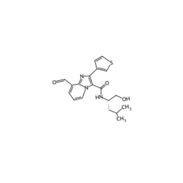 CC(C)C[C@@H](CO)NC(=O)c1c(-c2ccsc2)nc2c(C=O)cccn12